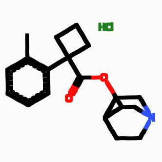 Cc1ccccc1C1(C(=O)OC2CN3CCC2CC3)CCC1.Cl